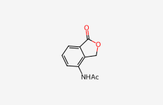 CC(=O)Nc1cccc2c1COC2=O